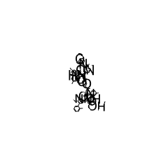 CCc1ncc([C@H](CC(=O)O)NC(=O)C(CC(C)COC(=O)C[C@H](NC(=O)[C@H](CC(C)C)n2ccc(C)cc2=O)c2cnc(C)c(N3CCOC[C@@H]3C)c2)n2ccc(C)cc2=O)cc1-c1ccccc1C